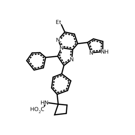 CCc1cc(-c2cc[nH]n2)c2nc(-c3ccc(C4(NC(=O)O)CCC4)cc3)c(-c3ccccc3)n2n1